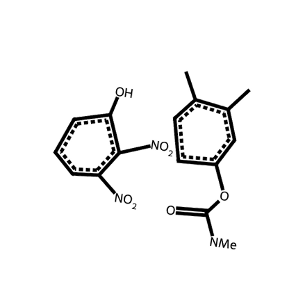 CNC(=O)Oc1ccc(C)c(C)c1.O=[N+]([O-])c1cccc(O)c1[N+](=O)[O-]